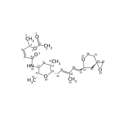 CC(=O)OC(C)/C=C\C(=O)NC1C[C@H](C)[C@H](C/C=C(C)/C=C/[C@@H]2C[C@@]3(CCO2)CO3)O[C@@H]1C